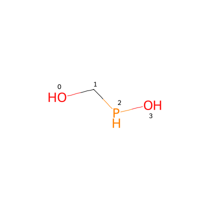 OCPO